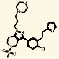 CS(=O)(=O)N1CCc2c(c(-c3ccc(Cl)c(SCc4ccco4)c3)nn2CCCN2CCOCC2)C1